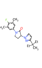 CCC(C)(CC)c1ccn(C2CCN(c3cc(C)c(F)c(C)c3)C2=O)n1